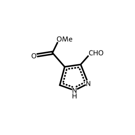 COC(=O)c1c[nH]nc1C=O